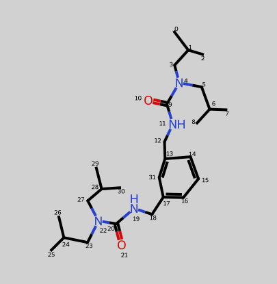 CC(C)CN(CC(C)C)C(=O)NCc1cccc(CNC(=O)N(CC(C)C)CC(C)C)c1